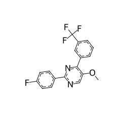 COc1cnc(-c2ccc(F)cc2)nc1-c1cccc(C(F)(F)F)c1